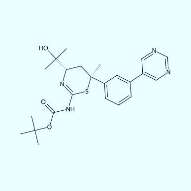 CC(C)(C)OC(=O)NC1=N[C@H](C(C)(C)O)C[C@@](C)(c2cccc(-c3cncnc3)c2)S1